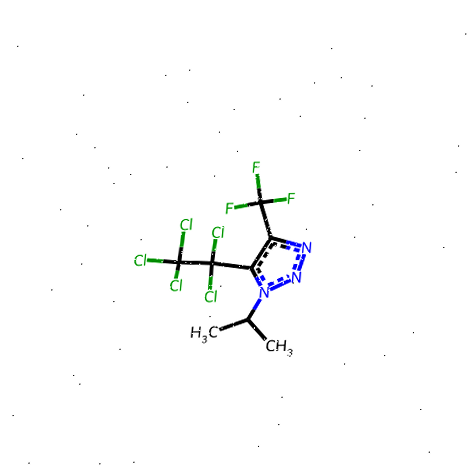 CC(C)n1nnc(C(F)(F)F)c1C(Cl)(Cl)C(Cl)(Cl)Cl